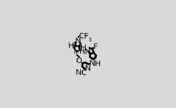 N#Cc1cc(OCC[C@@H]2C[C@@H]3CN(CC(F)(F)F)C[C@@H]3C2)cc(Nc2ccc3c(F)c[nH]c3c2)n1